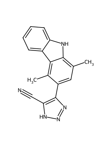 Cc1cc(-c2nn[nH]c2C#N)c(C)c2c1[nH]c1ccccc12